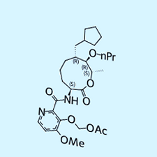 CCCO[C@@H]1[C@@H](CC2CCCC2)CCC[C@H](NC(=O)c2nccc(OC)c2OCOC(C)=O)C(=O)O[C@H]1C